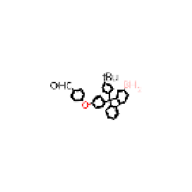 Bc1ccc2c(c1)C(c1ccc(Oc3ccc(C=O)cc3)cc1)(c1ccc(C(C)(C)C)cc1)c1ccccc1-2